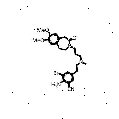 COc1cc2c(cc1OC)CC(=O)N(CCCN(C)CCc1cc(Br)c(N)c(C#N)c1)CC2